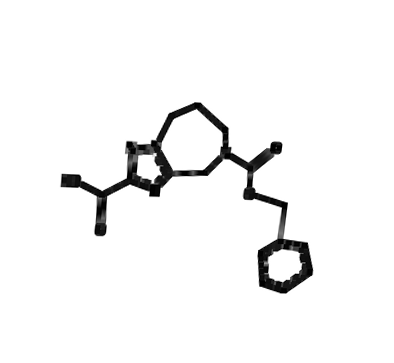 O=C(O)c1nc2n(n1)CCCN(C(=O)OCc1ccccc1)C2